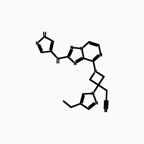 CCc1cnn(C2(CC#N)CN(c3nccn4nc(Nc5cn[nH]c5)nc34)C2)c1